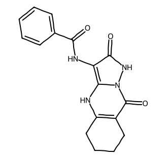 O=C(Nc1c(=O)[nH]n2c(=O)c3c([nH]c12)CCCC3)c1ccccc1